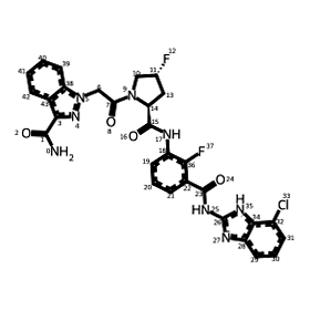 NC(=O)c1nn(CC(=O)N2C[C@H](F)C[C@H]2C(=O)Nc2cccc(C(=O)Nc3nc4cccc(Cl)c4[nH]3)c2F)c2ccccc12